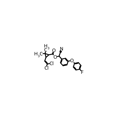 CC1(C)C(C=C(Cl)Cl)C1C(=O)OC(C#N)c1cccc(Oc2ccc(F)cc2)c1